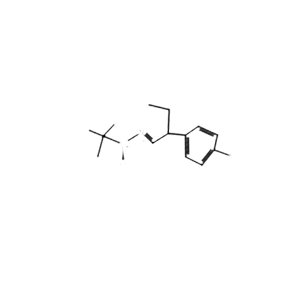 CCC(/C=N/[S@@+]([O-])C(C)(C)C)c1ccc(F)cc1